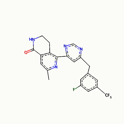 Cc1cc2c(c(-c3cc(Cc4cc(F)cc(C(F)(F)F)c4)ncn3)n1)CCNC2=O